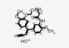 CCOc1cc(/C(=C\C#N)c2ccc(OC)c(NC(=O)CN)c2)ccc1OC.Cl